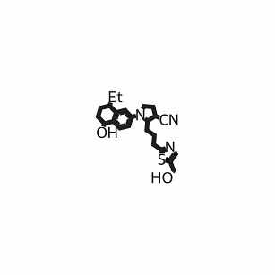 CCC1CCC(O)c2ccc(N3CCC(C#N)C3CCCc3ncc(CO)s3)cc21